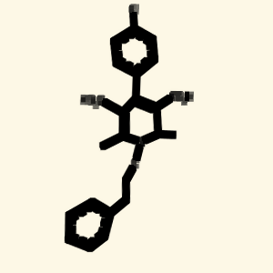 CC1=C(C(=O)O)C(c2ccc(Cl)cc2)=C(C(=O)O)C(C)N1CCCc1ccccc1